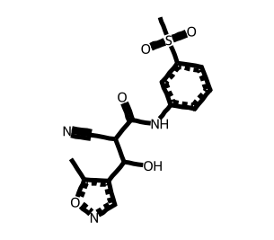 Cc1oncc1C(O)C(C#N)C(=O)Nc1cccc(S(C)(=O)=O)c1